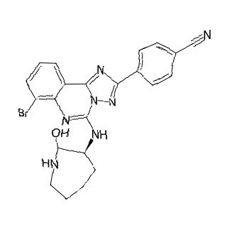 N#Cc1ccc(-c2nc3c4cccc(Br)c4nc(N[C@H]4CCCCNC4O)n3n2)cc1